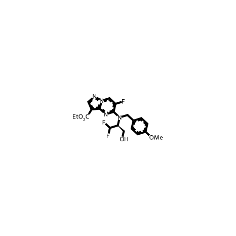 CCOC(=O)c1cnn2cc(F)c(N(Cc3ccc(OC)cc3)[C@@H](CO)C(F)F)nc12